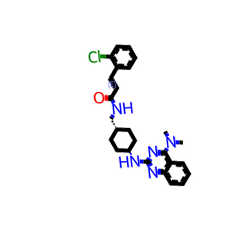 CN(C)c1nc(N[C@H]2CC[C@@H](CNC(=O)/C=C/c3ccccc3Cl)CC2)nc2ccccc12